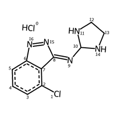 Cl.Clc1cccc2c1C(=NC1NCCN1)N=N2